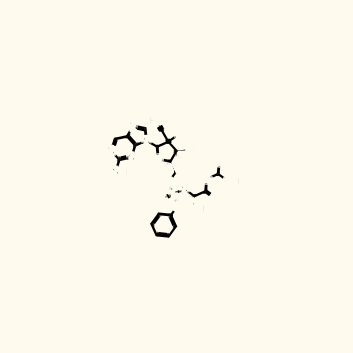 C#CC1(F)C(n2cnc3cnc(N)nc32)O[C@H](COP(=O)(N[C@@H](C)C(=O)OC(C)C)Oc2ccccc2)[C@@H]1O